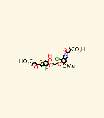 COc1cc2c(c(Cl)c1OCCCOc1c(O)cc3sc(C(=O)CC(C)C(=O)O)cc3c1F)CN(C(=O)CC(C)C(=O)O)C2